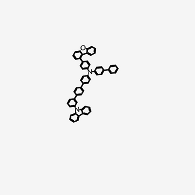 c1ccc(-c2ccc(N(c3ccc(-c4ccc(-c5cccc(-n6c7ccccc7c7ccccc76)c5)cc4)cc3)c3ccc(-c4cccc5oc6ccccc6c45)cc3)cc2)cc1